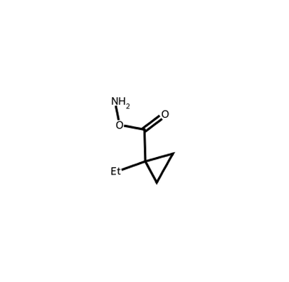 CCC1(C(=O)ON)CC1